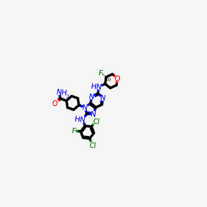 NC(=O)C1CCC(n2c(Nc3c(F)cc(Cl)cc3Cl)nc3cnc(NC4CCOC[C@H]4F)nc32)CC1